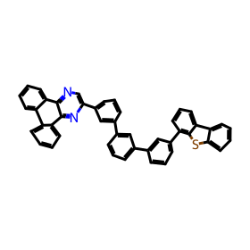 c1cc(-c2cccc(-c3cnc4c5ccccc5c5ccccc5c4n3)c2)cc(-c2cccc(-c3cccc4c3sc3ccccc34)c2)c1